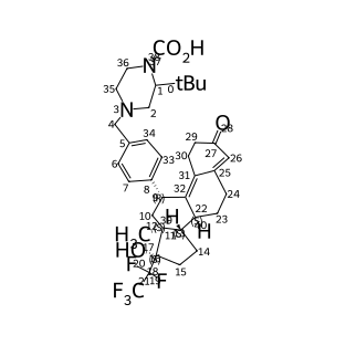 CC(C)(C)C1CN(Cc2ccc([C@H]3C[C@@]4(C)[C@@H](CC[C@@]4(O)C(F)(F)C(F)(F)F)[C@@H]4CCC5=CC(=O)CCC5=C43)cc2)CCN1C(=O)O